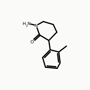 Cc1ccccc1C1CCCN(N)C1=O